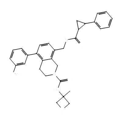 COc1cccc(-c2ccc(CNC(=O)C3CC3c3ccccc3)c3c2CCN(C(=O)NC2(C)COC2)C3)c1